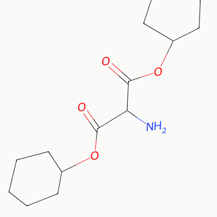 NC(C(=O)OC1CCCCC1)C(=O)OC1CCCCC1